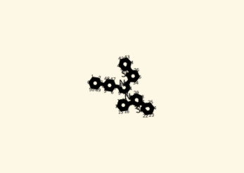 c1ccc(-c2ccc(-c3cc(-n4c5ccccc5c5c6sc7ccccc7c6ccc54)cc(-c4cccc5c4sc4ccccc45)n3)cc2)cc1